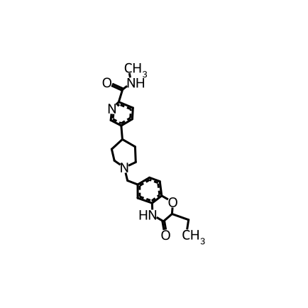 CCC1Oc2ccc(CN3CCC(c4ccc(C(=O)NC)nc4)CC3)cc2NC1=O